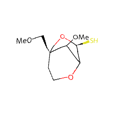 COC[C@]12CCOC(C1OC)[C@H](S)O2